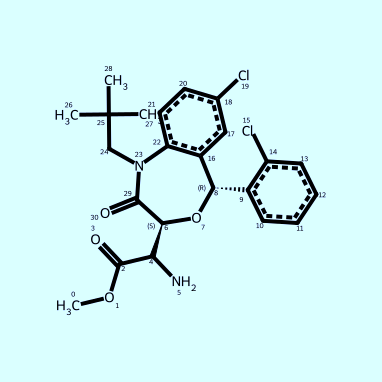 COC(=O)C(N)[C@@H]1O[C@@H](c2ccccc2Cl)c2cc(Cl)ccc2N(CC(C)(C)C)C1=O